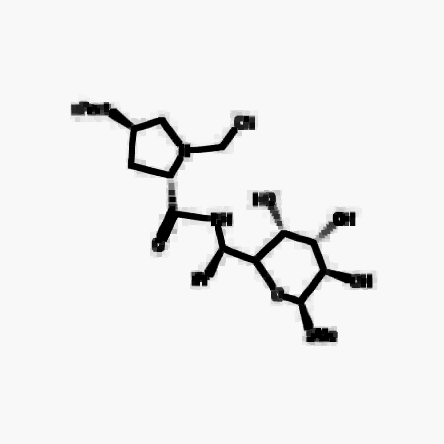 CCCCC[C@@H]1C[C@@H](C(=O)N[C@H](C(C)C)C2O[C@H](SC)[C@H](O)[C@@H](O)[C@H]2O)N(CC#N)C1